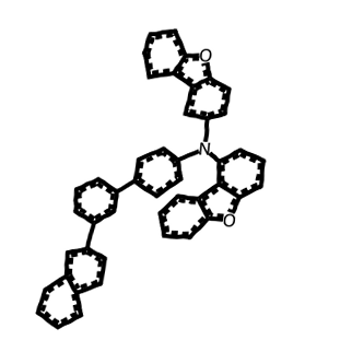 c1cc(-c2ccc(N(c3ccc4oc5ccccc5c4c3)c3cccc4oc5ccccc5c34)cc2)cc(-c2ccc3ccccc3c2)c1